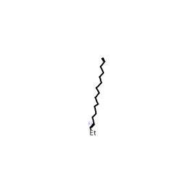 [CH2]C/C=C/CCCCCCCCCCCC=C